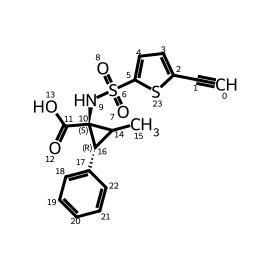 C#Cc1ccc(S(=O)(=O)N[C@@]2(C(=O)O)C(C)[C@@H]2c2ccccc2)s1